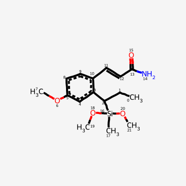 CCC(c1cc(OC)ccc1C=CC(N)=O)[Si](C)(OC)OC